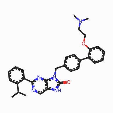 CC(C)c1ccccc1-c1ncc2[nH]c(=O)n(Cc3ccc(-c4ccccc4OCCN(C)C)cc3)c2n1